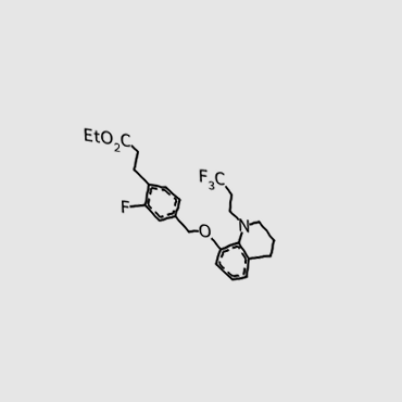 CCOC(=O)CCc1ccc(COc2cccc3c2N(CCC(F)(F)F)CCC3)cc1F